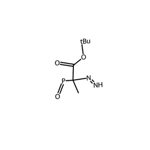 CC(C)(C)OC(=O)C(C)(N=N)P=O